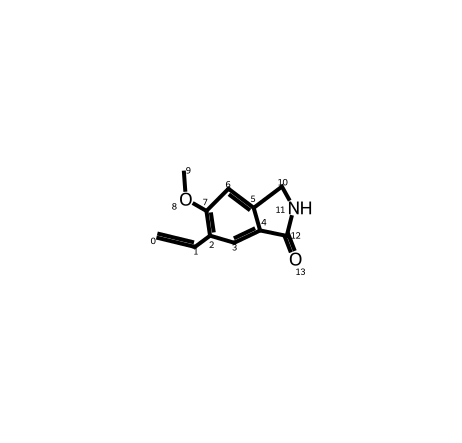 C=Cc1cc2c(cc1OC)CNC2=O